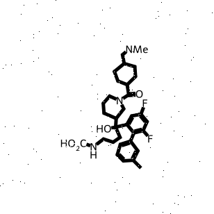 CNCC1CCC(C(=O)N2CCCC(C(O)(CCCNC(=O)O)c3cc(F)cc(F)c3-c3cccc(C)c3)C2)CC1